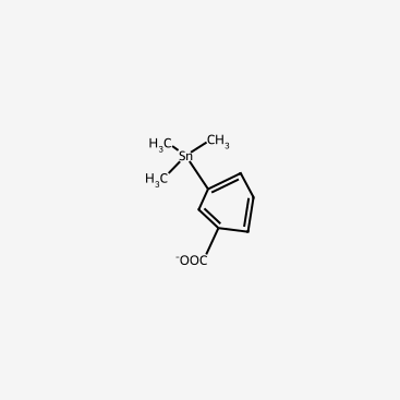 [CH3][Sn]([CH3])([CH3])[c]1cccc(C(=O)[O-])c1